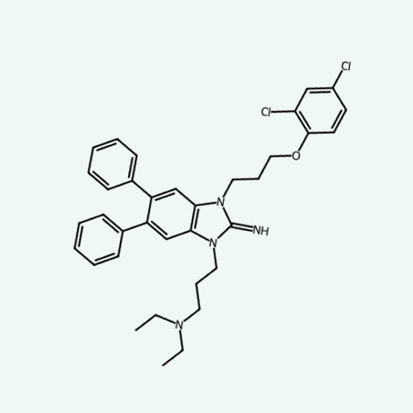 CCN(CC)CCCn1c(=N)n(CCCOc2ccc(Cl)cc2Cl)c2cc(-c3ccccc3)c(-c3ccccc3)cc21